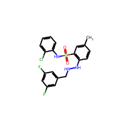 Cc1ccc(NNCc2cc(F)cc(F)c2)c(S(=O)(=O)Nc2ccccc2Cl)c1